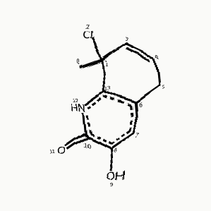 CC1(Cl)C=CCc2cc(O)c(=O)[nH]c21